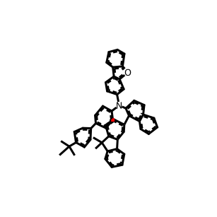 CC(C)(C)c1ccc(-c2ccc(N(c3ccc4c(c3)oc3ccccc34)c3ccc4ccccc4c3-c3ccc4c(c3)-c3ccccc3C4(C)C)cc2)cc1